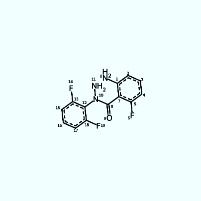 Nc1cccc(F)c1C(=O)N(N)c1c(F)cccc1F